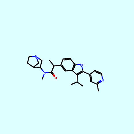 Cc1cc(-c2[nH]c3ccc(C(C)C(=O)N(C)C4CN5CCC4C5)cc3c2C(C)C)ccn1